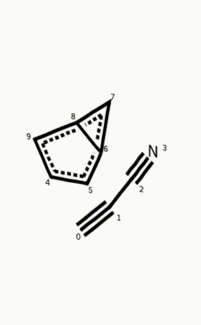 C#CC#N.c1cc2cc-2c1